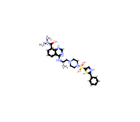 C[C@@H](CN1CCN(S(=O)(=O)c2cnc(-c3ccccc3)s2)CC1)Nc1ncnc2c(C(=O)N(C)C)cccc12